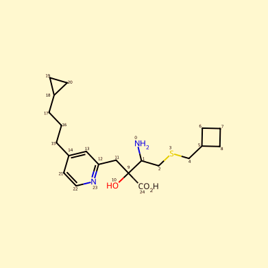 NC(CSCC1CCC1)C(O)(Cc1cc(CCCC2CC2)ccn1)C(=O)O